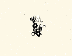 Cl.NC(Cc1ccc(NC(=O)c2c(Cl)cccc2Cl)cc1)C(=O)O